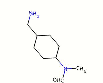 CN(C=O)C1CCC(CN)CC1